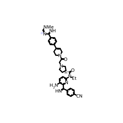 CCN(C(=O)[C@@H]1CCN(CC(=O)N2CC=C(c3ccc(C(=N)/N=C\NC)cc3)CC2)C1)c1ccc(N)c(C(=N)c2ccc(C#N)cc2)n1